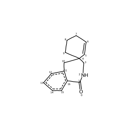 O=C1NCC2(C=CCCC2)Cc2ccccc21